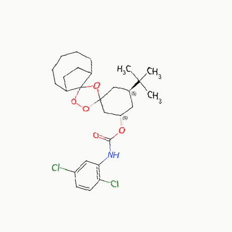 CC(C)(C)[C@H]1C[C@H](OC(=O)Nc2cc(Cl)ccc2Cl)CC2(C1)OOC1(O2)C2CCCCCC1CC2